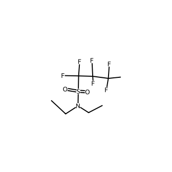 CCN(CC)S(=O)(=O)C(F)(F)C(F)(F)C(C)(F)F